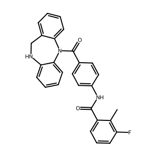 Cc1c(F)cccc1C(=O)Nc1ccc(C(=O)N2c3ccccc3CNc3ccccc32)cc1